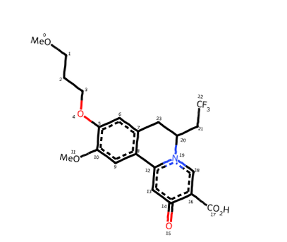 COCCCOc1cc2c(cc1OC)-c1cc(=O)c(C(=O)O)cn1C(CC(F)(F)F)C2